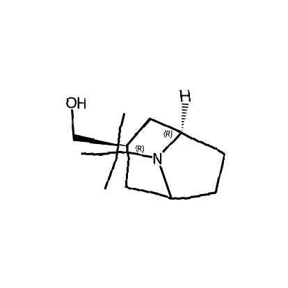 CC(C)(C)N1C2CC[C@@H]1C[C@H](CO)C2